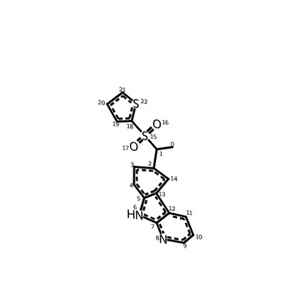 CC(c1ccc2[nH]c3ncccc3c2c1)S(=O)(=O)c1cccs1